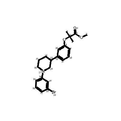 COC(=O)C(C)(C)Oc1cccc(C2CCCN(c3cccc(Br)c3)C2)c1